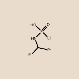 CC(C)C(NP(=O)(O)Cl)C(C)C